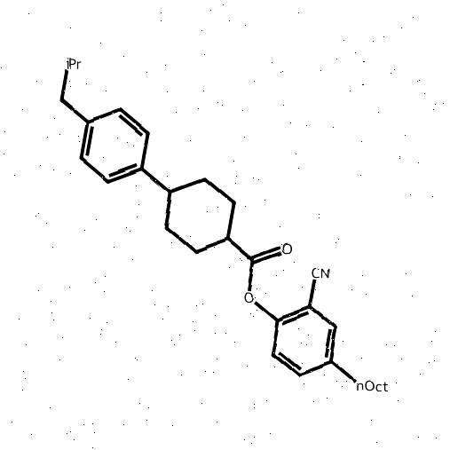 CCCCCCCCc1ccc(OC(=O)C2CCC(c3ccc(CC(C)C)cc3)CC2)c(C#N)c1